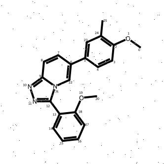 COc1ccc(-c2ccc3nnc(-c4ccccc4OC)n3c2)cc1C